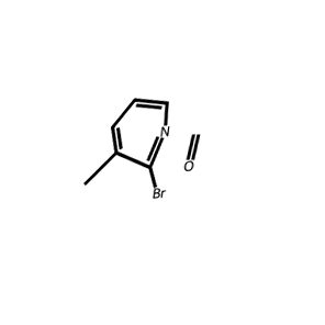 C=O.Cc1cccnc1Br